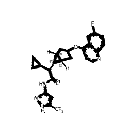 O=C(Nc1cc(C(F)(F)F)[nH]n1)C(C1CC1)[C@H]1[C@@H]2CC(Oc3ccnc4ccc(F)cc34)C[C@@H]21